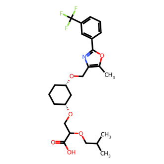 Cc1oc(-c2cccc(C(F)(F)F)c2)nc1CO[C@H]1CCC[C@@H](OCC(OCC(C)C)C(=O)O)C1